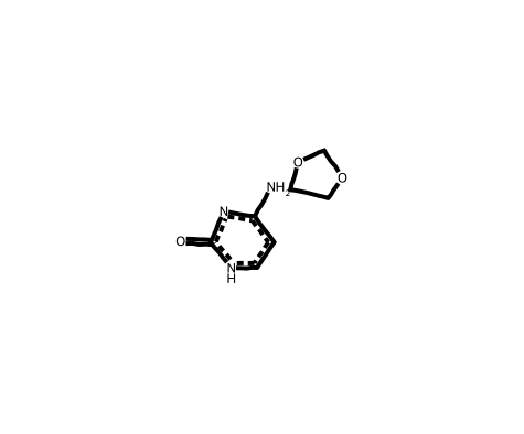 C1COCO1.Nc1cc[nH]c(=O)n1